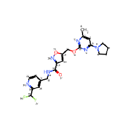 Cc1cc(N2CCCC2)nc(OCc2cc(C(=O)NCc3ccnc(C(F)F)c3)no2)n1